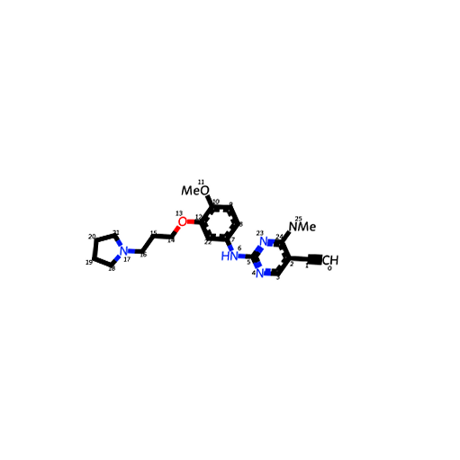 C#Cc1cnc(Nc2ccc(OC)c(OCCCN3CCCC3)c2)nc1NC